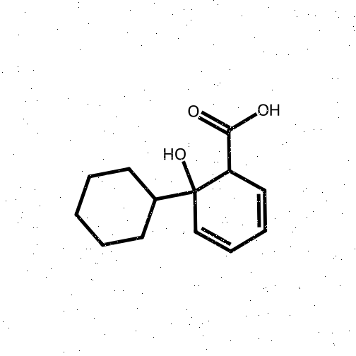 O=C(O)C1C=CC=CC1(O)C1CCCCC1